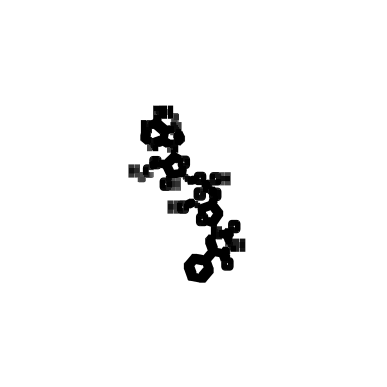 COC1[C@@H](O)[C@@H](COP(=O)(O)OC2C[C@H](n3cc(-c4ccccc4)c(=O)[nH]c3=O)O[C@@H]2CO)O[C@H]1n1cnc2c(N)ncnc21